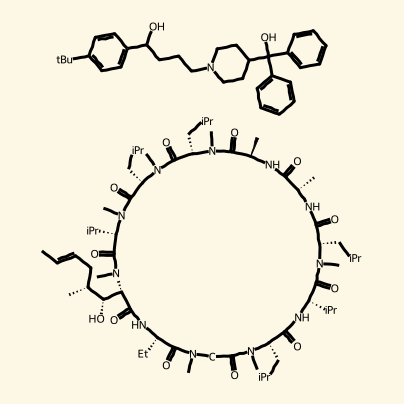 C/C=C/C[C@@H](C)[C@@H](O)[C@H]1C(=O)N[C@@H](CC)C(=O)N(C)CC(=O)N(C)[C@@H](CC(C)C)C(=O)N[C@@H](C(C)C)C(=O)N(C)[C@@H](CC(C)C)C(=O)N[C@@H](C)C(=O)N[C@H](C)C(=O)N(C)[C@@H](CC(C)C)C(=O)N(C)[C@@H](CC(C)C)C(=O)N(C)[C@@H](C(C)C)C(=O)N1C.CC(C)(C)c1ccc(C(O)CCCN2CCC(C(O)(c3ccccc3)c3ccccc3)CC2)cc1